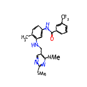 CNc1nc(SC)ncc1CNc1cc(NC(=O)c2cccc(C(F)(F)F)c2)ccc1C